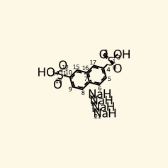 O=S(=O)(O)c1ccc2ccc(S(=O)(=O)O)cc2c1.[NaH].[NaH].[NaH].[NaH]